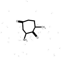 CC1CCC(=O)CC(N)C1=O